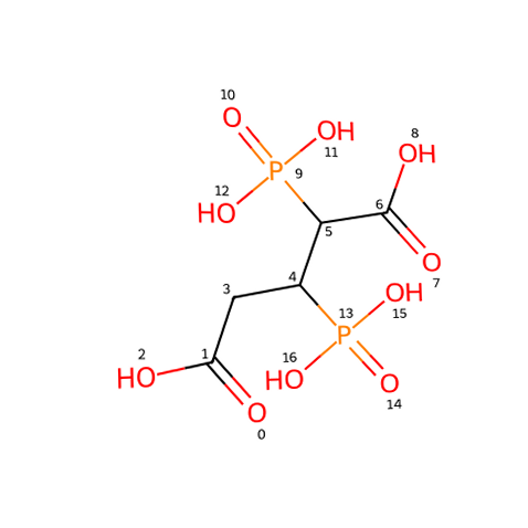 O=C(O)CC(C(C(=O)O)P(=O)(O)O)P(=O)(O)O